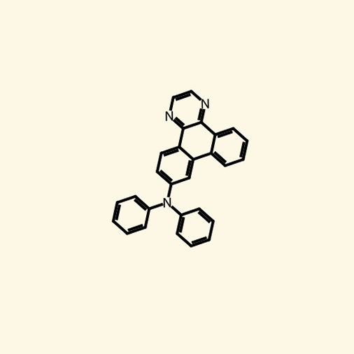 c1ccc(N(c2ccccc2)c2ccc3c(c2)c2ccccc2c2nccnc32)cc1